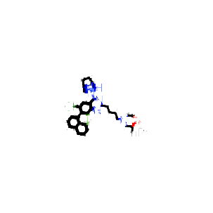 CCCC1CN(CCCCc2nc(N3CC4CCC(C3)N4)c3cc(Cl)c(-c4cccc5ccccc45)c(F)c3n2)CCO1